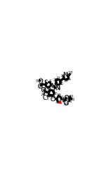 COC(=O)C1SCC(n2cnc3cc(-c4ccc(C)nc4)ccc32)CC1O[C@H](C)c1cccc(OC2CCN(C(=O)OC(C)(C)C)CC2)c1Cl